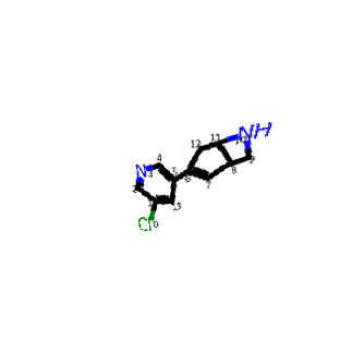 Clc1cncc(C2=CC3CNC3C2)c1